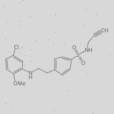 C#CCNS(=O)(=O)c1ccc(CCNc2cc(Cl)ccc2OC)cc1